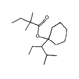 CCC(C(C)C)C1(OC(=O)C(C)(C)CC)CCCCC1